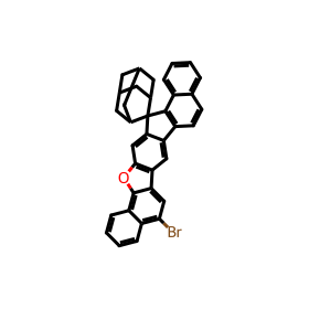 Brc1cc2c3cc4c(cc3oc2c2ccccc12)C1(c2c-4ccc3ccccc23)C2CC3CC(C2)CC1C3